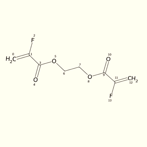 C=C(F)C(=O)OCCOC(=O)C(=C)F